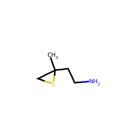 CC1(CCN)CS1